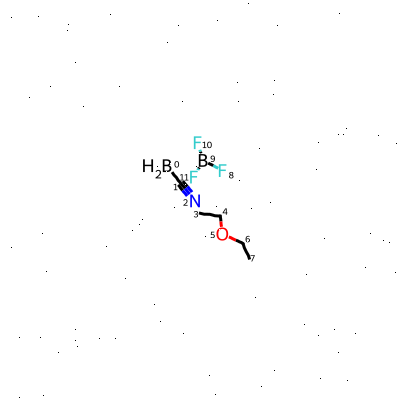 BC#N.CCOCC.FB(F)F